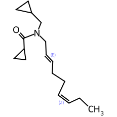 CC/C=C\CC/C=C/CN(CC1CC1)C(=O)C1CC1